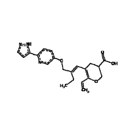 C=CC1=C(/C=C(\CC)COc2ccc(-c3ccn[nH]3)nc2)CC(C(=O)O)CO1